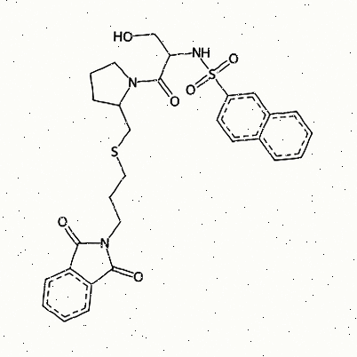 O=C1c2ccccc2C(=O)N1CCCSCC1CCCN1C(=O)C(CO)NS(=O)(=O)c1ccc2ccccc2c1